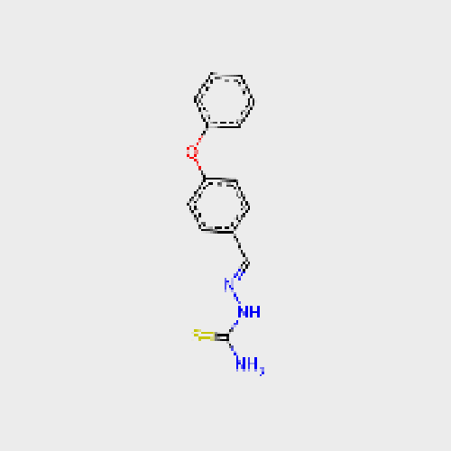 NC(=S)N/N=C/c1ccc(Oc2ccccc2)cc1